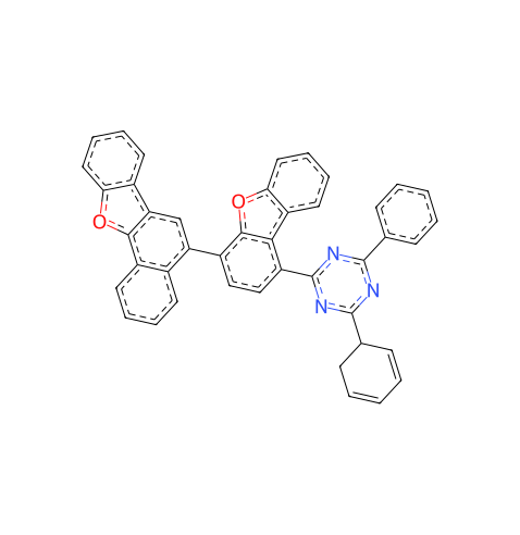 C1=CCC(c2nc(-c3ccccc3)nc(-c3ccc(-c4cc5c6ccccc6oc5c5ccccc45)c4oc5ccccc5c34)n2)C=C1